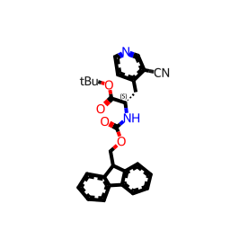 CC(C)(C)OC(=O)[C@H](Cc1ccncc1C#N)NC(=O)OCC1c2ccccc2-c2ccccc21